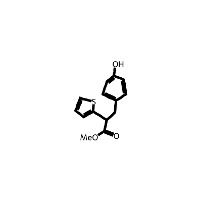 COC(=O)C(Cc1ccc(O)cc1)c1cccs1